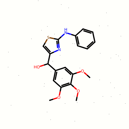 COc1cc(C(O)c2csc(Nc3ccccc3)n2)cc(OC)c1OC